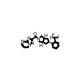 O=C(c1nc2ncccn2n1)N1C[C@H]2C[C@@H](c3ccccc3C(F)(F)F)C[C@H]2C1